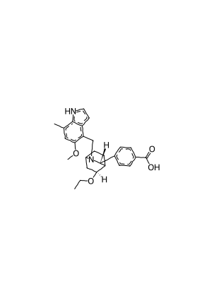 CCO[C@H]1CC2CCC1[C@@H](c1ccc(C(=O)O)cc1)N2Cc1c(OC)cc(C)c2[nH]ccc12